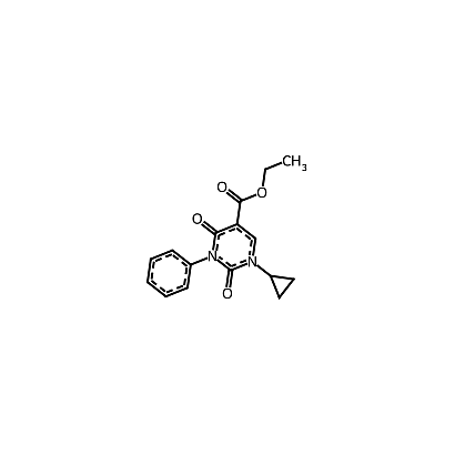 CCOC(=O)c1cn(C2CC2)c(=O)n(-c2ccccc2)c1=O